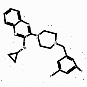 Fc1cc(F)cc(CN2CCN(c3nc4ccccc4nc3NC3CC3)CC2)c1